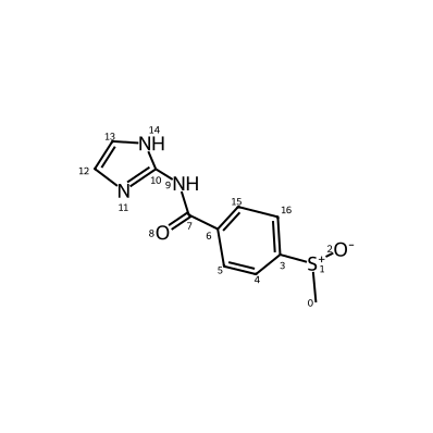 C[S+]([O-])c1ccc(C(=O)Nc2ncc[nH]2)cc1